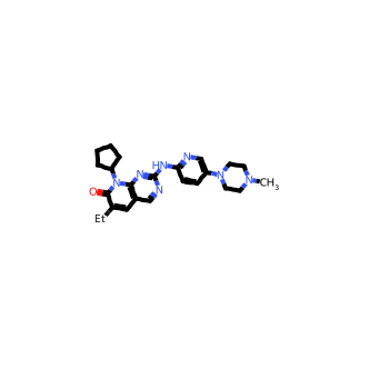 CCc1cc2cnc(Nc3ccc(N4CCN(C)CC4)cn3)nc2n(C2CCCC2)c1=O